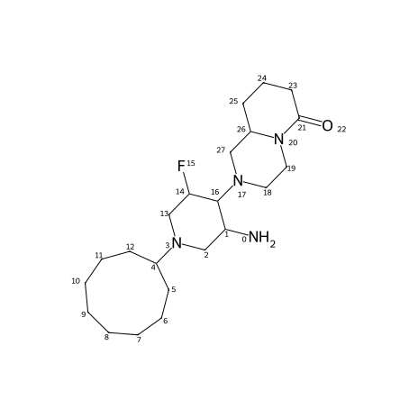 NC1CN(C2CCCCCCCC2)CC(F)C1N1CCN2C(=O)CCCC2C1